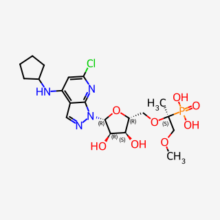 COC[C@@](C)(OC[C@H]1O[C@@H](n2ncc3c(NC4CCCC4)cc(Cl)nc32)[C@H](O)[C@@H]1O)P(=O)(O)O